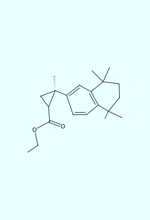 CCOC(=O)C1C[C@@]1(C)c1ccc2c(c1)C(C)(C)CCC2(C)C